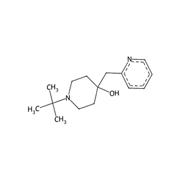 CC(C)(C)N1CCC(O)(Cc2ccccn2)CC1